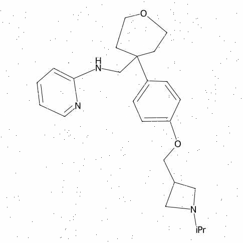 CC(C)N1CC(COc2ccc(C3(CNc4ccccn4)CCOCC3)cc2)C1